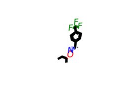 CCC(C)O/N=[C]/c1ccc(C(F)(F)F)cc1